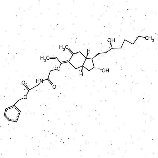 C=C/C(OCC(=O)NCC(=O)OCc1ccccc1)=C1/C[C@H]2C[C@@H](O)[C@H](CC[C@@H](O)CCCCC)[C@H]2CC1=C